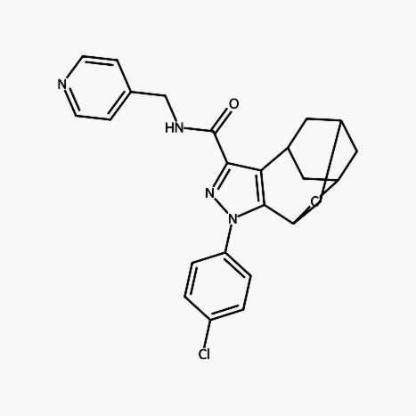 O=C(NCc1ccncc1)c1nn(-c2ccc(Cl)cc2)c2c1C1CC3CC(C1)CC2C3